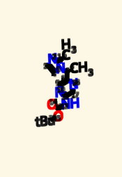 Cc1nccn1[C@@H](C)c1cnc(NC(=O)OC(C)(C)C)cn1